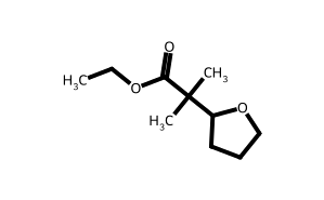 CCOC(=O)C(C)(C)C1CCCO1